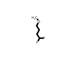 COCC[CH]C(F)F